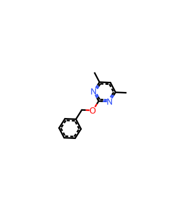 Cc1cc(C)nc(OCc2ccccc2)n1